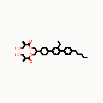 C=C(CO)C(=O)OCC(COC(=O)C(=C)CO)C1CC=C(c2ccc(-c3ccc(CCCCC)cc3)c(CC)c2)CC1